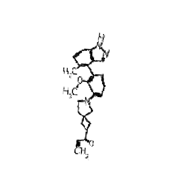 C=CC(=O)C1CC2(CCN(c3cccc(-c4c(C)ccc5[nH]ncc45)c3OC)C2)C1